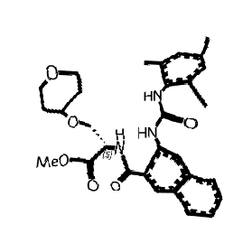 COC(=O)[C@H](COC1CCOCC1)NC(=O)c1cc2ccccc2cc1NC(=O)Nc1c(C)cc(C)cc1C